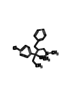 CCC(O)(c1ccc(Cl)cc1)C(Cc1ccccc1)CN(C)C